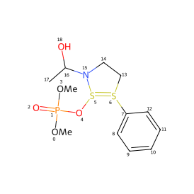 COP(=O)(OC)OS1=S(c2ccccc2)CCN1C(C)O